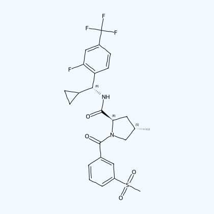 C[C@H]1C[C@H](C(=O)N[C@@H](c2ccc(C(F)(F)F)cc2F)C2CC2)N(C(=O)c2cccc(S(C)(=O)=O)c2)C1